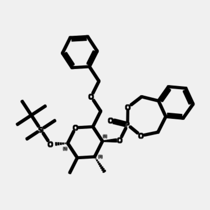 CC1[C@H](O[Si](C)(C)C(C)(C)C)OC(COCc2ccccc2)[C@@H](OP2(=O)OCc3ccccc3CO2)[C@@H]1C